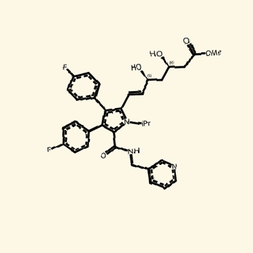 COC(=O)C[C@H](O)C[C@H](O)C=Cc1c(-c2ccc(F)cc2)c(-c2ccc(F)cc2)c(C(=O)NCc2cccnc2)n1C(C)C